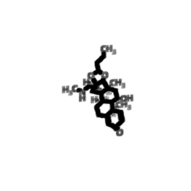 CCCC1O[C@@H]2CC3[C@@H]4CCC5=CC(=O)C=C[C@]5(C)C4[C@@H](O)C[C@]3(C)[C@]2(C(=O)CNC)O1